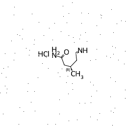 C[C@H](CC=N)CC(N)=O.Cl